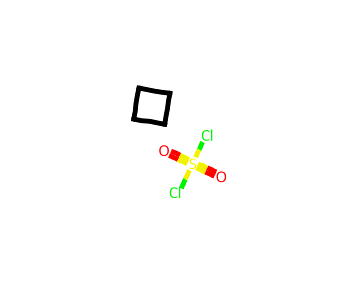 C1CCC1.O=S(=O)(Cl)Cl